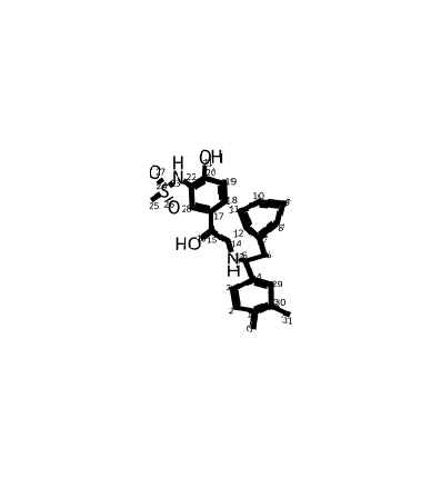 Cc1ccc(C(Cc2ccccc2)NCC(O)c2ccc(O)c(NS(C)(=O)=O)c2)cc1C